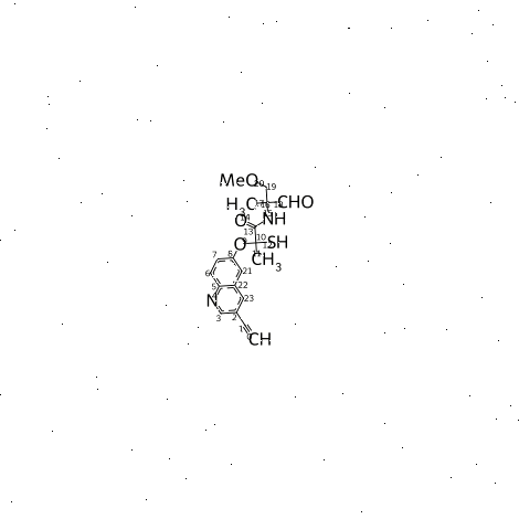 C#Cc1cnc2ccc(OC(C)(S)C(=O)NC(C)(C=O)COC)cc2c1